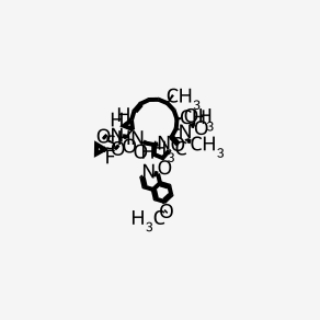 COc1ccc2c(O[C@@H]3C[C@H]4C(=O)N[C@]5(C(=O)NS(=O)(=O)C6(F)CC6)C[C@H]5C=CCC[C@@H](C)C[C@@H](C)[C@H](N(C(=O)O)C(C)C)C(=O)N4C3)nccc2c1